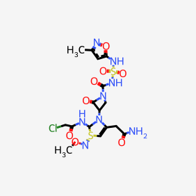 CO/N=S1/C=C(CC(N)=O)N(C2CN(C(=O)NS(=O)(=O)Nc3cc(C)no3)C2=O)C1NC(=O)CCl